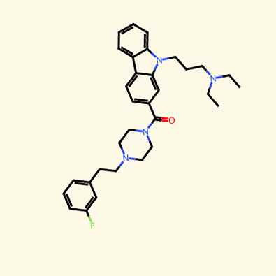 CCN(CC)CCCn1c2ccccc2c2ccc(C(=O)N3CCN(CCc4cccc(F)c4)CC3)cc21